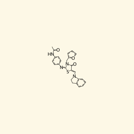 CC(=O)Nc1ccc(/N=C2/S/C(=C\N3CCc4ccccc43)C(=O)N2Cc2ccco2)cc1